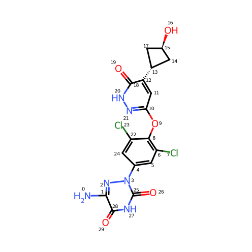 Nc1nn(-c2cc(Cl)c(Oc3cc([C@H]4C[C@H](O)C4)c(=O)[nH]n3)c(Cl)c2)c(=O)[nH]c1=O